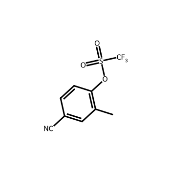 Cc1cc(C#N)ccc1OS(=O)(=O)C(F)(F)F